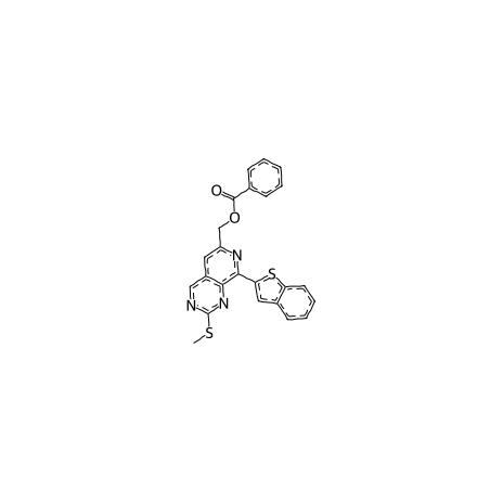 CSc1ncc2cc(COC(=O)c3ccccc3)nc(-c3cc4ccccc4s3)c2n1